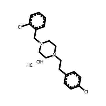 Cl.Cl.Clc1ccc(CCN2CCN(Cc3ccccc3Cl)CC2)cc1